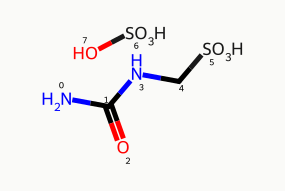 NC(=O)NCS(=O)(=O)O.O=S(=O)(O)O